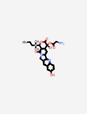 CCC1(OC(=O)CN)C(=O)OC([Si](C)(C)CCC(C)(C)C)c2c1cc1n(c2=O)Cc2cc3cc(O)ccc3nc2-1